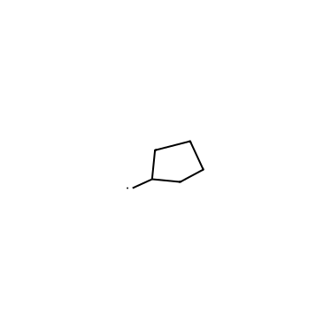 [CH2]C1CCCC1